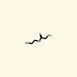 CC(C)(C)CC(=O)NCCC#N